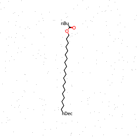 CCCCCCCCCCCCCCCCCCCCCCCCCCCCCCOC(=O)CCCC